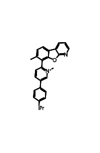 Cc1ccc2c(oc3ncccc32)c1-c1ccc(-c2ccc(C(C)C)cc2)c[n+]1C